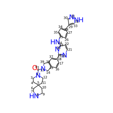 O=C(N1CCC2(CCNCC2)CC1)N1Cc2ccc(-c3nccc(Nc4ccc(-c5cn[nH]c5)cc4)n3)cc2C1